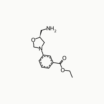 CCOC(=O)c1cccc(N2CO[C@@H](CN)C2)c1